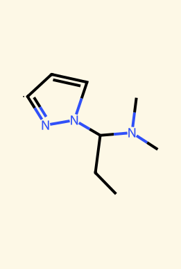 CCC(N(C)C)n1cc[c]n1